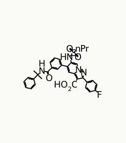 CCCS(=O)(=O)Nc1cn2nc(-c3ccc(F)cc3)c(C(=O)O)c2cc1-c1cccc(C(=O)NC(C)(C)c2ccccc2)c1